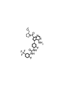 COCC1CCCN1C(=O)c1cc(-c2ccc(NC(=O)Nc3cc(C(F)(F)F)ccc3F)c(F)c2)c2c(N)ncnn12